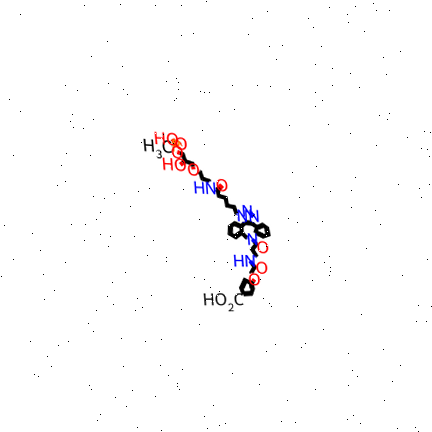 CP(=O)(O)OCC(O)COCCCNC(=O)CCCCCn1nnc2c1-c1ccccc1CN(C(=O)CCNC(=O)COc1ccc(C(=O)O)cc1)c1ccccc1-2